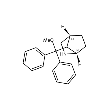 COC(c1ccccc1)(c1ccccc1)C1[C@H]2CC[C@@H]1NC2